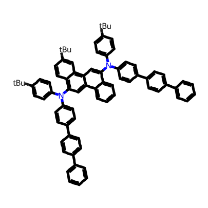 CC(C)(C)c1ccc(N(c2ccc(-c3ccc(-c4ccccc4)cc3)cc2)c2cc3c4cc(C(C)(C)C)ccc4c(N(c4ccc(-c5ccc(-c6ccccc6)cc5)cc4)c4ccc(C(C)(C)C)cc4)cc3c3ccccc23)cc1